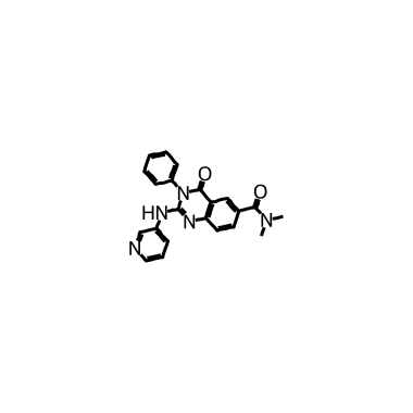 CN(C)C(=O)c1ccc2nc(Nc3cccnc3)n(-c3ccccc3)c(=O)c2c1